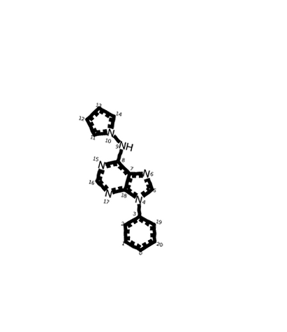 c1ccc(-n2cnc3c(Nn4cccc4)ncnc32)cc1